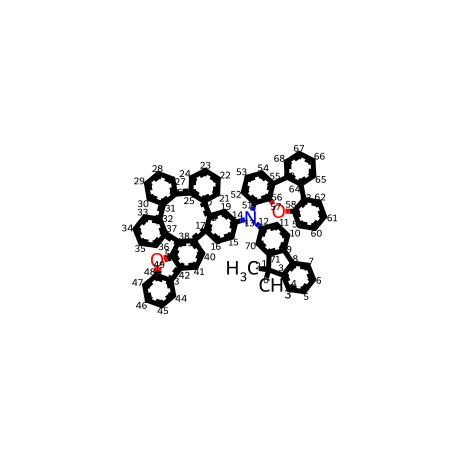 CC1(C)c2ccccc2-c2ccc(N(c3ccc4c(c3)c3ccccc3c3ccccc3c3ccccc3c3c4ccc4c5ccccc5oc43)c3cccc4c3Oc3ccccc3-c3ccccc3-4)cc21